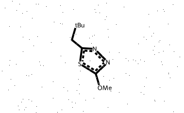 COc1nnc(CC(C)(C)C)s1